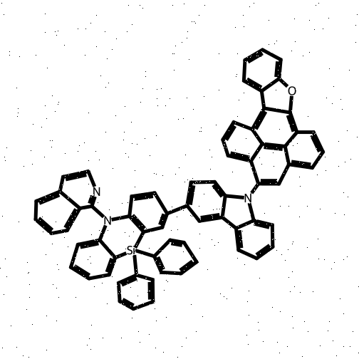 c1ccc([Si]2(c3ccccc3)c3ccccc3N(c3nccc4ccccc34)c3ccc(-c4ccc5c(c4)c4ccccc4n5-c4cc5cccc6c7oc8ccccc8c7c7cccc4c7c56)cc32)cc1